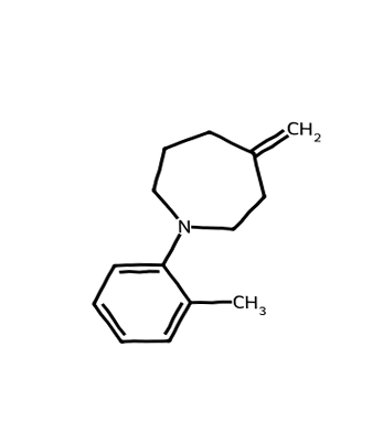 C=C1CCCN(c2ccccc2C)CC1